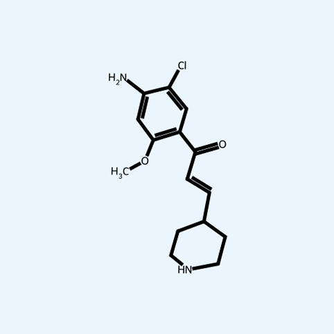 COc1cc(N)c(Cl)cc1C(=O)C=CC1CCNCC1